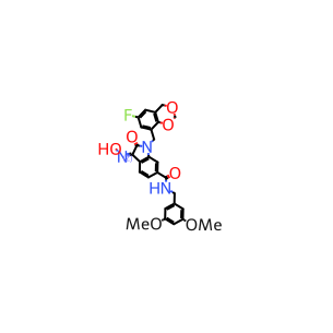 COc1cc(CNC(=O)c2ccc3c(c2)N(Cc2cc(F)cc4c2OCOC4)C(=O)/C3=N\O)cc(OC)c1